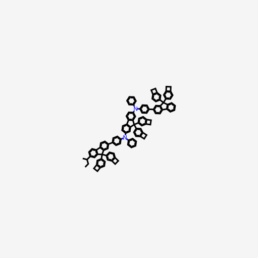 CCC(C)c1ccc2c(c1)C(c1ccc3c(c1)CC3)(c1ccc3c(c1)CC3)c1cc(-c3ccc(N(c4ccccc4)c4ccc5c(c4)C(c4ccc6c(c4)CC6)(c4ccc6c(c4)CC6)c4cc(N(c6ccccc6)c6ccc(-c7ccc8c(c7)C(c7ccc9c(c7)CC9)(c7ccc9c(c7)CC9)c7ccccc7-8)cc6)ccc4-5)cc3)ccc1-2